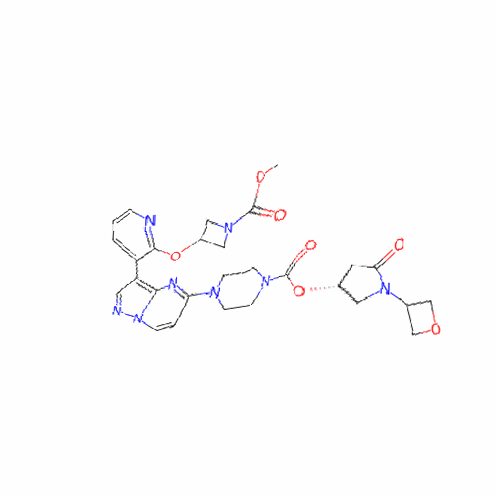 COC(=O)N1CC(Oc2ncccc2-c2cnn3ccc(N4CCN(C(=O)O[C@@H]5CC(=O)N(C6COC6)C5)CC4)nc23)C1